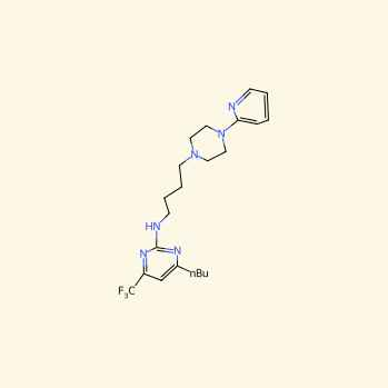 CCCCc1cc(C(F)(F)F)nc(NCCCCN2CCN(c3ccccn3)CC2)n1